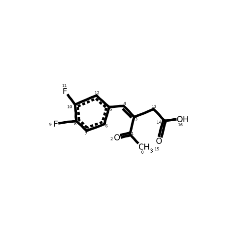 CC(=O)C(=Cc1ccc(F)c(F)c1)CC(=O)O